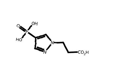 O=C(O)CCn1cc(P(=O)(O)O)cn1